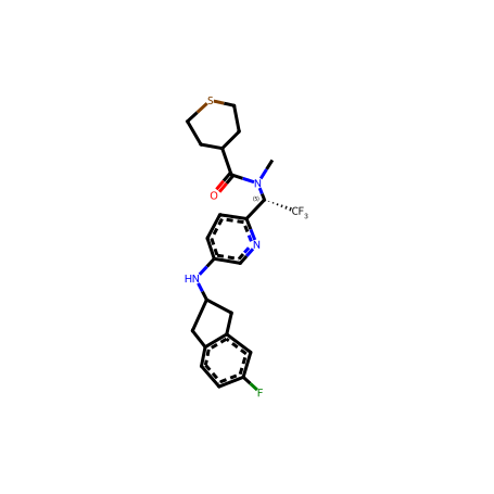 CN(C(=O)C1CCSCC1)[C@@H](c1ccc(NC2Cc3ccc(F)cc3C2)cn1)C(F)(F)F